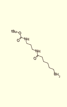 BCCCCCC(=O)NCCCNC(=O)OC(C)(C)C